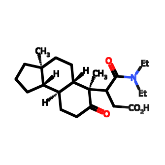 CCN(CC)C(=O)C(CC(=O)O)[C@@]1(C)C(=O)CC[C@H]2[C@@H]3CCC[C@@]3(C)CC[C@@H]21